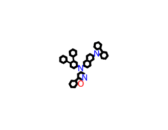 c1ccc(-c2ccc(N(c3ccc4cc(-n5c6ccccc6c6ccccc65)ccc4c3)c3cnc4oc5ccccc5c4c3)cc2-c2ccccc2)cc1